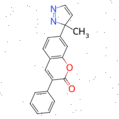 CC1(c2ccc3cc(-c4ccccc4)c(=O)oc3c2)C=CN=N1